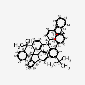 CC(C)(C)c1ccc(N(C2=CC3C(C=C2)C(C)(C)c2ccccc2C32c3ccccc3C3C=CC=CC32)C2C=Cc3c(oc4ccccc34)C2)c(-c2ccccc2)c1